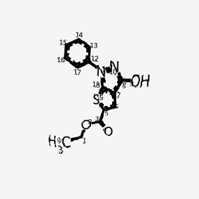 CCOC(=O)c1cc2c(O)nn(-c3ccccc3)c2s1